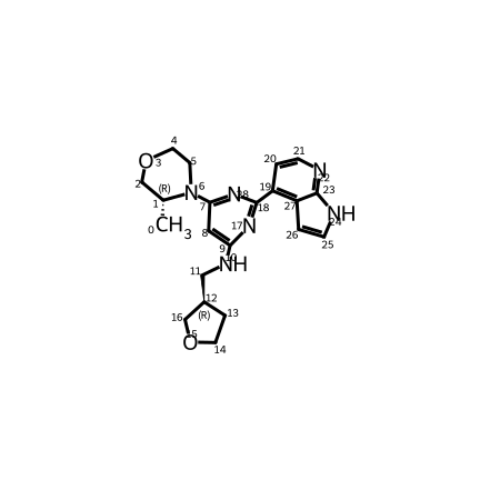 C[C@@H]1COCCN1c1cc(NC[C@H]2CCOC2)nc(-c2ccnc3[nH]ccc23)n1